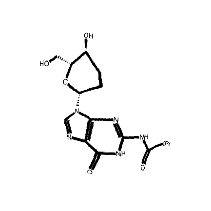 CC(C)C(=O)Nc1nc2c(ncn2[C@H]2CC[C@H](O)[C@@H](CO)O2)c(=O)[nH]1